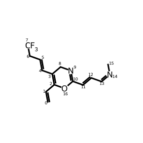 C=CC1=C(/C=C/CC(F)(F)F)CN=C(/C=C/C=N\C)O1